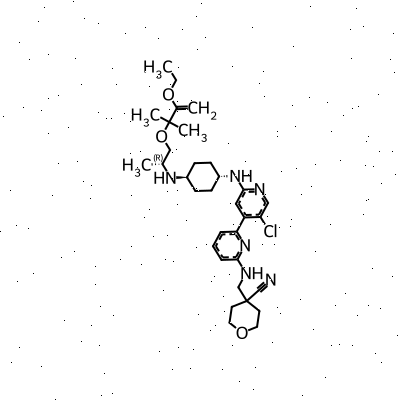 C=C(OCC)C(C)(C)OC[C@@H](C)N[C@H]1CC[C@H](Nc2cc(-c3cccc(NCC4(C#N)CCOCC4)n3)c(Cl)cn2)CC1